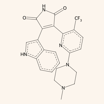 CN1CCN(c2ccc(C(F)(F)F)c(C3=C(c4c[nH]c5ccccc45)C(=O)NC3=O)n2)CC1